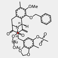 C=C1[C@H]2c3c(cc(C)c(OC)c3OCc3ccccc3)CC(C(=O)N1[C@@H](COC(C)=O)c1cc(OS(C)(=O)=O)c(C)c3c1OCO3)N2C(=O)OC(C)(C)C